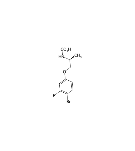 C[C@@H](COc1ccc(Br)c(F)c1)NC(=O)O